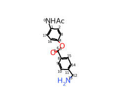 CC(=O)Nc1ccc(OC(=O)c2ccc(CN)cc2)cc1